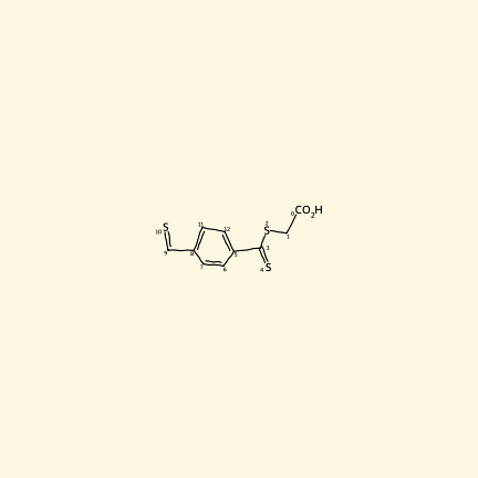 O=C(O)CSC(=S)c1ccc(C=S)cc1